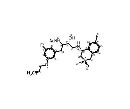 C=CCOc1cc(F)cc(CC(NC(C)=O)[C@H](O)CN[C@H]2CS(=O)(=O)Cc3ccc(CC)cc32)c1